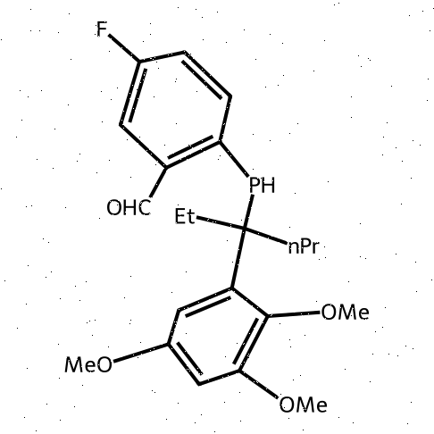 CCCC(CC)(Pc1ccc(F)cc1C=O)c1cc(OC)cc(OC)c1OC